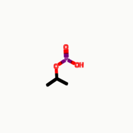 CC(C)O[P](=O)O